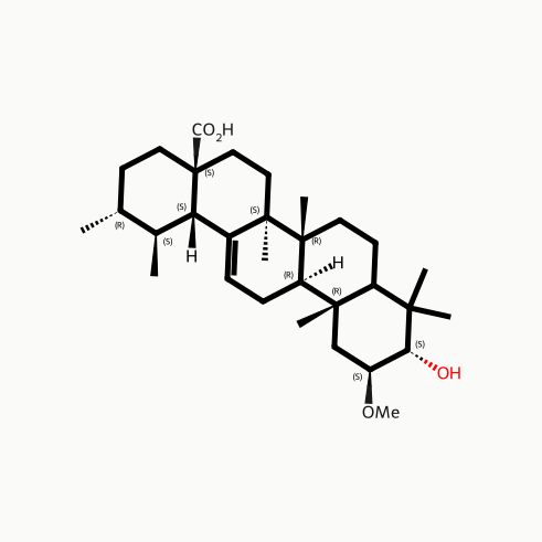 CO[C@H]1C[C@@]2(C)C(CC[C@]3(C)[C@@H]2CC=C2[C@@H]4[C@@H](C)[C@H](C)CC[C@]4(C(=O)O)CC[C@]23C)C(C)(C)[C@@H]1O